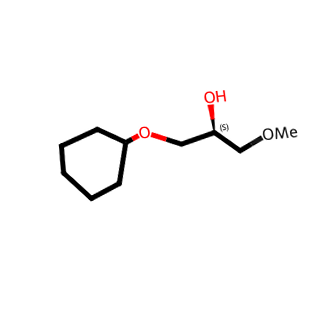 COC[C@H](O)COC1CCCCC1